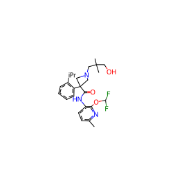 Cc1ccc(NC(=O)C2(c3ccccc3C(C)C)CN(CC(C)(C)CO)C2)c(OC(F)F)n1